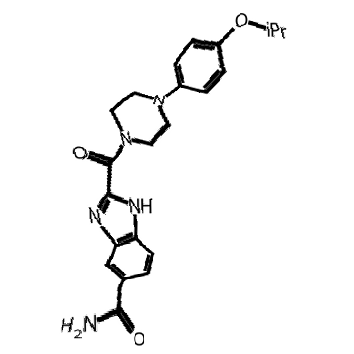 CC(C)Oc1ccc(N2CCN(C(=O)c3nc4cc(C(N)=O)ccc4[nH]3)CC2)cc1